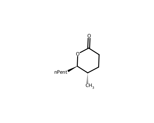 CCCCC[C@H]1OC(=O)CC[C@@H]1C